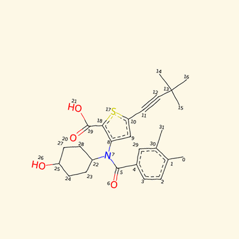 Cc1ccc(C(=O)N(c2cc(C#CC(C)(C)C)sc2C(=O)O)C2CCC(O)CC2)cc1C